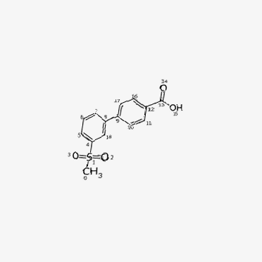 CS(=O)(=O)c1cccc(-c2ccc(C(=O)O)cc2)c1